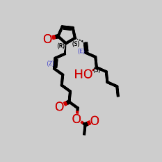 CCCC[C@H](O)C/C=C/[C@H]1C=CC(=O)[C@@H]1C/C=C\CCCC(=O)COC(C)=O